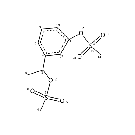 CC(OS(C)(=O)=O)c1cccc(OS(C)(=O)=O)c1